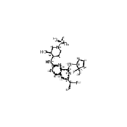 CS(=O)(=O)N1CCC(Nc2ncc3cc(C(F)F)nc(NC4CCCC4(F)F)c3n2)C(O)C1